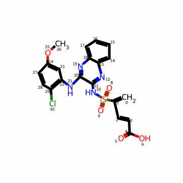 C=C(/C=C/C(=O)O)S(=O)(=O)Nc1nc2ccccc2nc1Nc1cc(OC)ccc1Cl